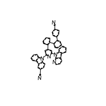 N#Cc1ccc(-c2ccccc2-c2ccccc2-c2cc(-n3c4ccccc4c4cc(C#N)ccc43)nc(-n3c4ccccc4c4cccnc43)c2)cc1